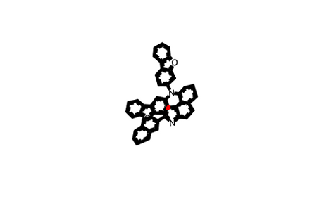 c1ccc2cc(-c3nc4ccc5cccc(N(c6ccc7c(c6)oc6ccccc67)c6ccc7oc8ccccc8c7c6)c5c4o3)ccc2c1